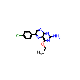 CCOc1nc(N)nc2ncc(-c3ccc(Cl)cc3)nc12